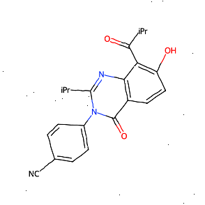 CC(C)C(=O)c1c(O)ccc2c(=O)n(-c3ccc(C#N)cc3)c(C(C)C)nc12